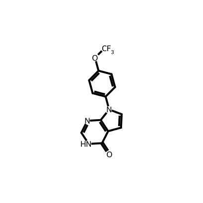 O=c1[nH]cnc2c1ccn2-c1ccc(OC(F)(F)F)cc1